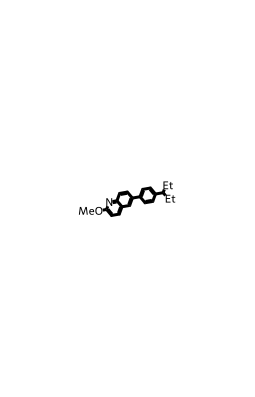 CCC(CC)c1ccc(-c2ccc3nc(OC)ccc3c2)cc1